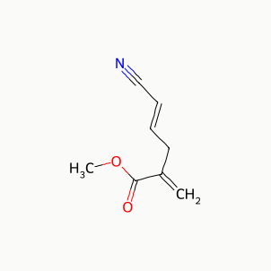 C=C(CC=CC#N)C(=O)OC